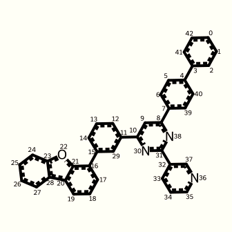 c1ccc(-c2ccc(-c3cc(-c4cccc(-c5cccc6c5oc5ccccc56)c4)nc(-c4cccnc4)n3)cc2)cc1